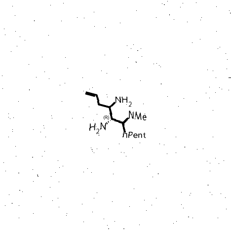 C=CCC(N)[C@@H](N)C(CCCCC)NC